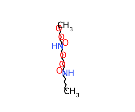 CCCCCCNC(=O)COCCOCCNC(=O)COCCOC